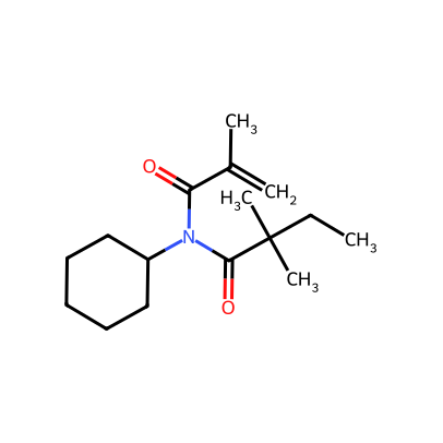 C=C(C)C(=O)N(C(=O)C(C)(C)CC)C1CCCCC1